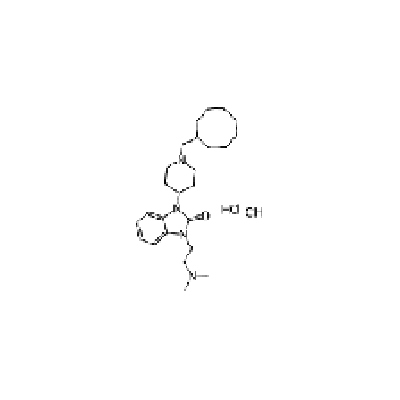 CN(C)CCn1c(=O)n(C2CCN(CC3CCCCCCC3)CC2)c2ccccc21.Cl.Cl